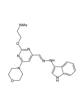 CNCCOc1nc(C=NNc2c[nH]c3ccccc23)cc(N2CCOCC2)n1